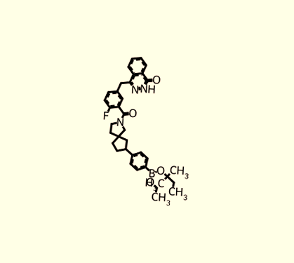 CCOB(OC(C)(C)CC)c1ccc(C2CCC3(CCN(C(=O)c4cc(Cc5n[nH]c(=O)c6ccccc56)ccc4F)C3)C2)cc1